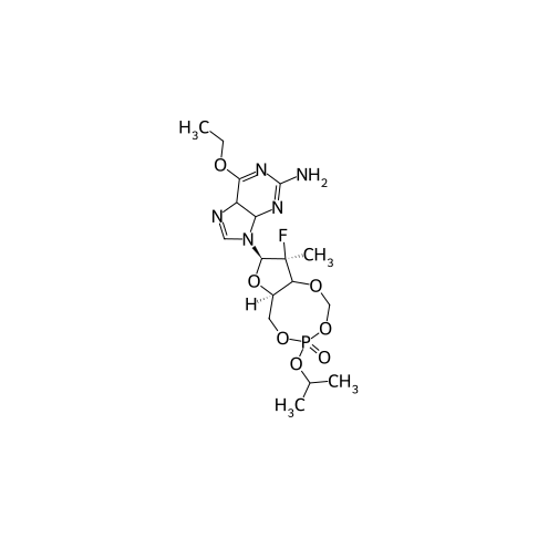 CCOC1=NC(N)=NC2C1N=CN2[C@@H]1O[C@@H]2COP(=O)(OC(C)C)OCOC2[C@]1(C)F